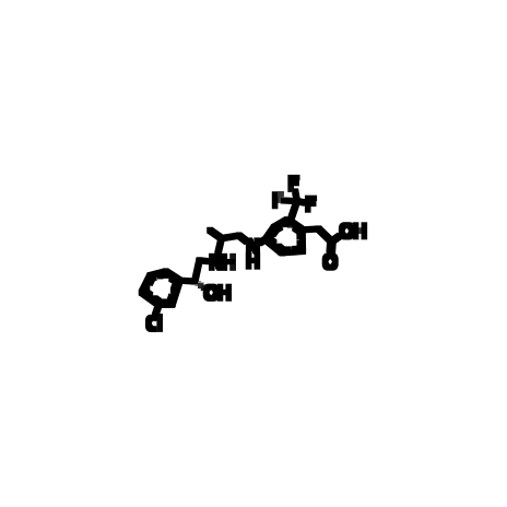 CC(CNc1ccc(CC(=O)O)c(C(F)(F)F)c1)NC[C@H](O)c1cccc(Cl)c1